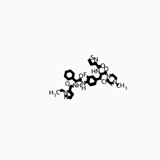 CCn1nccc1C(=O)N[C@H](C(=O)Nc1ccc([C@H](C)[C@@H](NC(=O)c2ccsn2)C(=O)N2CCN(C)CC2)cc1F)C1CCCCC1